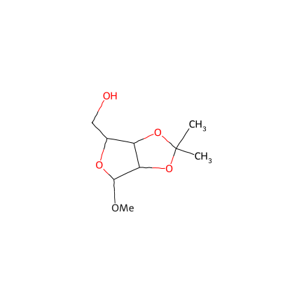 COC1OC(CO)C2OC(C)(C)OC12